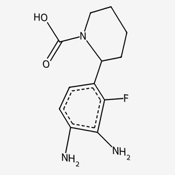 Nc1ccc(C2CCCCN2C(=O)O)c(F)c1N